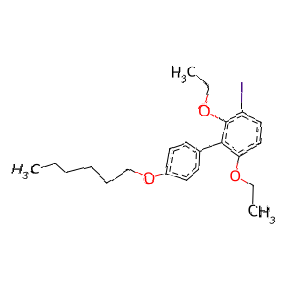 CCCCCCOc1ccc(-c2c(OCC)ccc(I)c2OCC)cc1